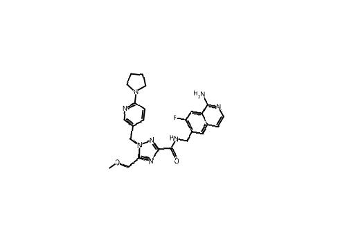 COCc1nc(C(=O)NCc2cc3ccnc(N)c3cc2F)nn1Cc1ccc(N2CCCC2)nc1